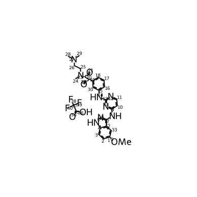 COc1ccc2[nH]nc(Nc3ccnc(Nc4cccc(S(=O)(=O)N(C)CCN(C)C)c4)n3)c2c1.O=C(O)C(F)(F)F